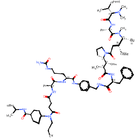 CCCCCC(C)[C@@H](C(=O)N[C@H](C(=O)N(C)[C@@H]([C@@H](C)CC)[C@@H](CC(=O)N1CCC[C@H]1[C@H](OC)[C@@H](C)C(=O)N[C@@H](Cc1ccccc1)C(=O)NCc1ccc(NC(=O)[C@H](CCCNC(N)=O)NC(=O)[C@@H](NC(=O)CCC(=O)N(CCC#N)C2CCC(C(=O)NC(C)CCCC)CC2)C(C)C)cc1)OC)C(C)C)N(C)C